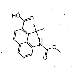 COC(=O)Nc1cccc2ccc(C(=O)O)c(C(C)(C)C)c12